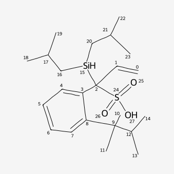 C=CC(c1ccccc1C(C)(C)C(C)C)([SiH](CC(C)C)CC(C)C)S(=O)(=O)O